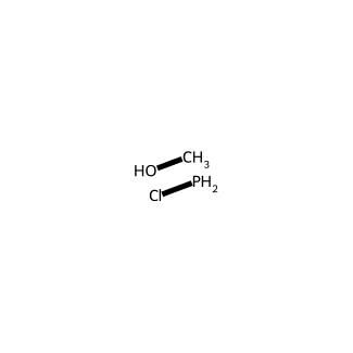 CO.PCl